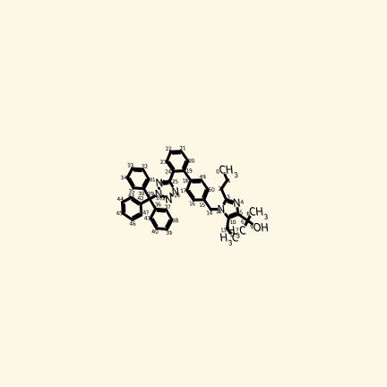 CCCc1nc(C(C)(C)O)c(CC)n1Cc1ccc(-c2ccccc2-c2nnn(C(c3ccccc3)(c3ccccc3)c3ccccc3)n2)cc1